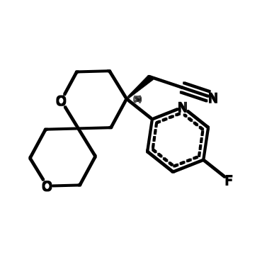 N#CC[C@]1(c2ccc(F)cn2)CCOC2(CCOCC2)C1